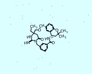 CCC1(COC)CC(=O)N(Cc2cccc(C(=O)N[C@H]3CC(C)(C)Oc4ccccc43)c2)C(=N)N1